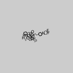 CC(C)(C)[Si](C)(C)O[C@H](CCc1ccc(N2CCC(F)(F)CC2)cc1)C(=O)OCc1ccccc1